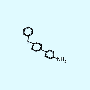 Nc1ccc(-c2ccc(Sc3ccccc3)cc2)cc1